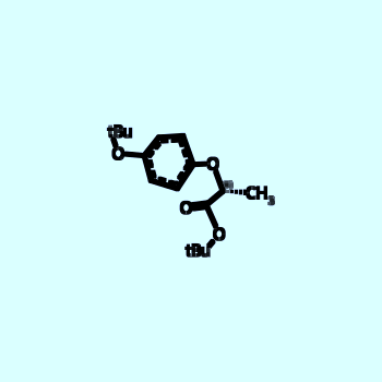 C[C@@H](Oc1ccc(OC(C)(C)C)cc1)C(=O)OC(C)(C)C